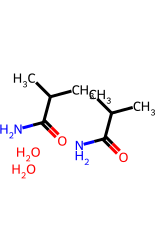 CC(C)C(N)=O.CC(C)C(N)=O.O.O